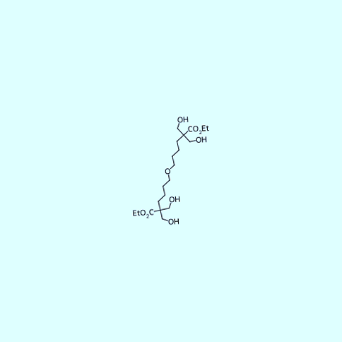 CCOC(=O)C(CO)(CO)CCCCOCCCCC(CO)(CO)C(=O)OCC